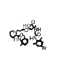 Cc1cc(Br)cc(C)c1NC(=O)CNC(C)(CCOCCCN1CCCCC1C(=O)Nc1c(C)cccc1C)C(=O)O